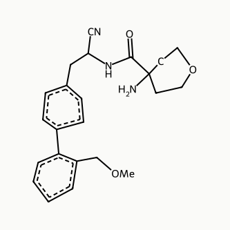 COCc1ccccc1-c1ccc(CC(C#N)NC(=O)C2(N)CCOCC2)cc1